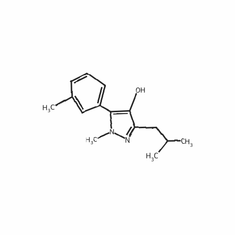 Cc1cccc(-c2c(O)c(CC(C)C)nn2C)c1